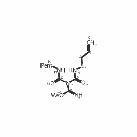 C=CCSNC(=O)N(C(=N)OC)C(=O)NC(C)CCC